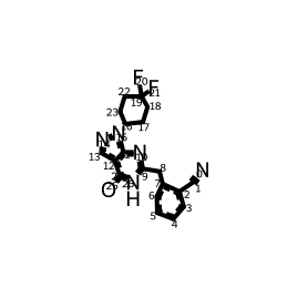 N#Cc1ccccc1Cc1nc2c(cnn2C2CCC(F)(F)CC2)c(=O)[nH]1